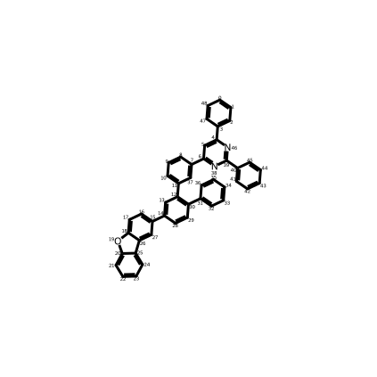 c1ccc(-c2cc(-c3cccc(-c4cc(-c5ccc6oc7ccccc7c6c5)ccc4-c4ccccc4)c3)nc(-c3ccccc3)n2)cc1